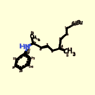 CCC(C)CCCC(C)CCC[C](C)Nc1ccccc1